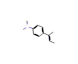 C/C=C(\C)c1ccc(N(C)C)cc1